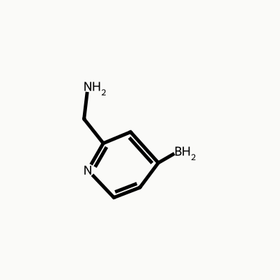 Bc1ccnc(CN)c1